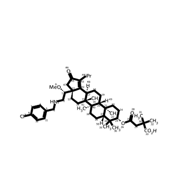 CO[C@@H](CNCc1ccc(Cl)cc1)[C@@]12CC[C@]3(C)[C@H](CC[C@@H]4[C@@]5(C)CC[C@H](OC(=O)CC(C)(C)C(=O)O)C(C)(C)[C@@H]5CC[C@]43C)C1=C(C(C)C)C(=O)C2